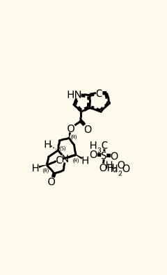 CS(=O)(=O)O.O.O.O=C(O[C@@H]1C[C@@H]2C[C@@H]3C[C@H](C1)N2CC3=O)c1c[nH]c2ccccc12